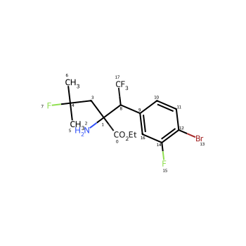 CCOC(=O)C(N)(CC(C)(C)F)C(c1ccc(Br)c(F)c1)C(F)(F)F